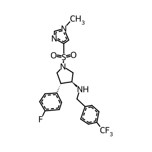 Cn1cnc(S(=O)(=O)N2C[C@@H](NCc3ccc(C(F)(F)F)cc3)[C@H](c3ccc(F)cc3)C2)c1